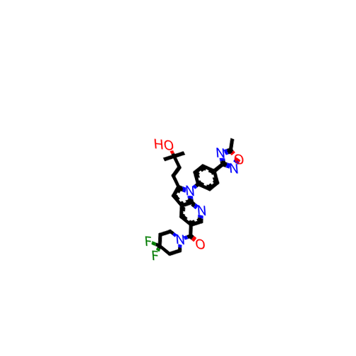 Cc1nc(-c2ccc(-n3c(CCC(C)(C)O)cc4cc(C(=O)N5CCC(F)(F)CC5)cnc43)cc2)no1